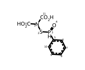 O=C(O)N(S[PH](=O)c1ccccc1)C(=O)O